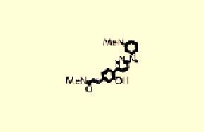 CNC(=O)/C=C/c1ccc(-c2ccc(N(C)[C@@H]3CCC[C@@H](NC)C3)nn2)c(O)c1